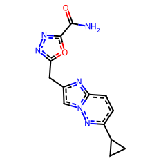 NC(=O)c1nnc(Cc2cn3nc(C4CC4)ccc3n2)o1